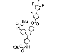 CC(C)(C)OC(=O)Nc1ccc(C(Cc2ccc(OC(=O)c3ccc(-c4cc(F)c(F)c(F)c4)c(F)c3)cc2)c2ccc(NC(=O)OC(C)(C)C)cc2)cc1